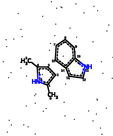 Cc1ccc(C)[nH]1.c1ccc2[nH]ccc2c1